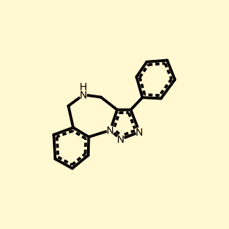 c1ccc(-c2nnn3c2CNCc2ccccc2-3)cc1